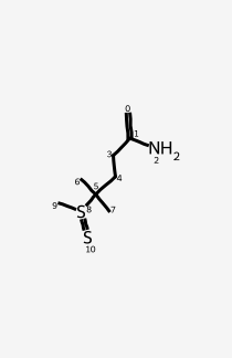 C=C(N)CCC(C)(C)S(C)=S